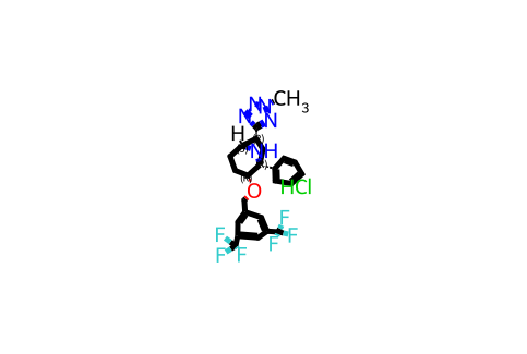 Cl.Cn1nnc([C@@H]2C[C@]3(c4ccccc4)N[C@H]2CC[C@H]3OCc2cc(C(F)(F)F)cc(C(F)(F)F)c2)n1